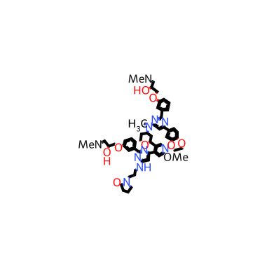 CNCC(O)COc1cccc(-c2nc(NCCCN3CCCC3=O)cc(-c3cc(OC)ncc3C3CC(N(C)c4cc(-c5ccc6c(c5)OCCO6)nc(-c5cccc(OCC(O)CNC)c5)n4)CCO3)n2)c1